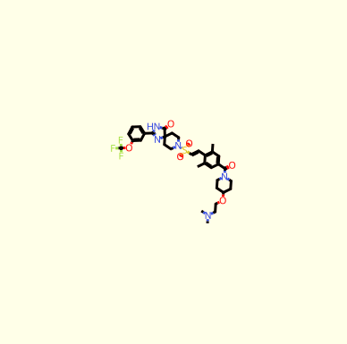 Cc1cc(C(=O)N2CCC(OCCN(C)C)CC2)cc(C)c1/C=C/S(=O)(=O)N1CCC2(CC1)N=C(c1cccc(OC(F)(F)F)c1)NC2=O